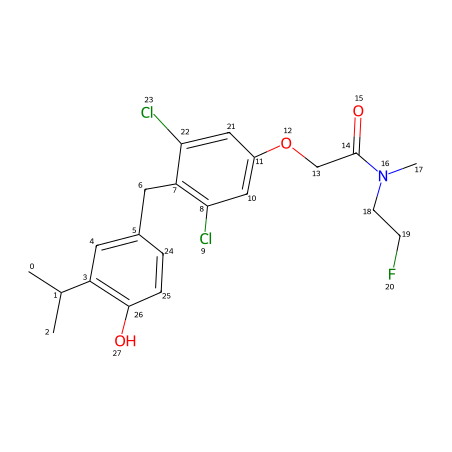 CC(C)c1cc(Cc2c(Cl)cc(OCC(=O)N(C)CCF)cc2Cl)ccc1O